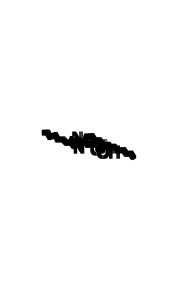 CCCCCCCC[C@H](Cc1ccc(-c2ncc(CCCCCCC)cn2)cc1)C(=O)O